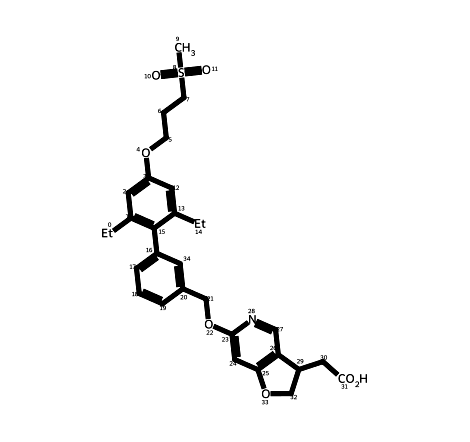 CCc1cc(OCCCS(C)(=O)=O)cc(CC)c1-c1cccc(COc2cc3c(cn2)C(CC(=O)O)CO3)c1